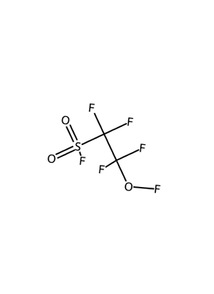 O=S(=O)(F)C(F)(F)C(F)(F)OF